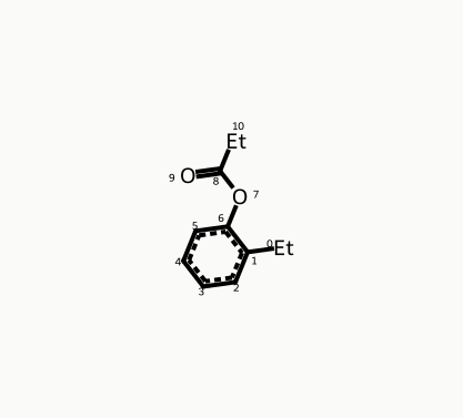 [CH2]Cc1ccccc1OC(=O)CC